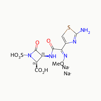 CON=C(C(=O)N[C@@H]1C(=O)N(S(=O)(=O)O)[C@@H]1C(=O)O)c1csc(N)n1.[Na].[Na]